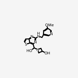 COc1cncc(CNc2nc(C(O)N3CC(O)C3)c3sccc3n2)c1